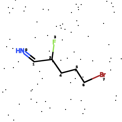 N=CC(F)CCCBr